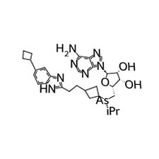 CC(C)[As](C[C@@H]1O[C@@H](n2cnc3c(N)ncnc32)[C@H](O)[C@@H]1O)C1CC(CCc2nc3cc(C4CCC4)ccc3[nH]2)C1